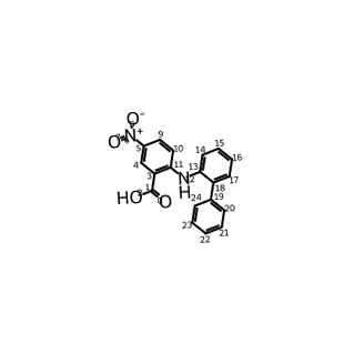 O=C(O)c1cc([N+](=O)[O-])ccc1Nc1ccccc1-c1ccccc1